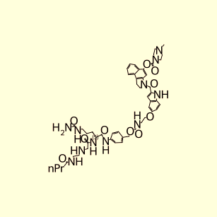 CCCC(=O)NCCNCC(=O)N[C@@H](CCCNC(N)=O)C(=O)Nc1ccc(COC(=O)NCCOc2ccc3[nH]c(C(=O)N4CCc5c4cc(OC(=O)N4CCN(C)CC4)c4ccccc54)cc3c2)cc1